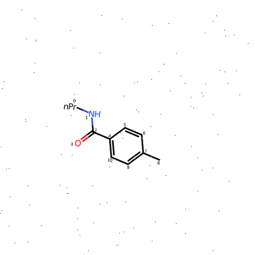 CCCNC(=O)c1ccc(C)cc1